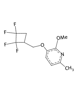 COc1nc(C)ccc1OCC1CC(F)(F)C1(F)F